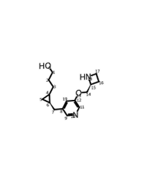 OCCCC1C[C@@H]1Cc1cncc(OC[C@@H]2CCN2)c1